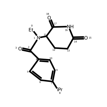 CCN(C(=O)c1ccc(C(C)C)cc1)C1CCC(=O)NC1=O